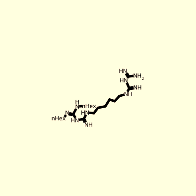 CCCCCCN=C(NCCCCCC)NC(=N)NCCCCCCNC(=N)NC(=N)N